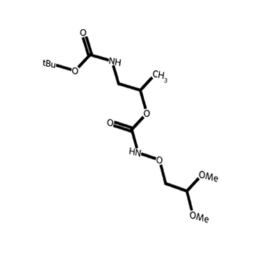 COC(CONC(=O)OC(C)CNC(=O)OC(C)(C)C)OC